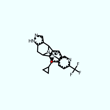 O=S(=O)(c1ccc(C(F)(F)F)nc1)N1C2Cc3[nH]ncc3C1c1cccc(C3CC3)c12